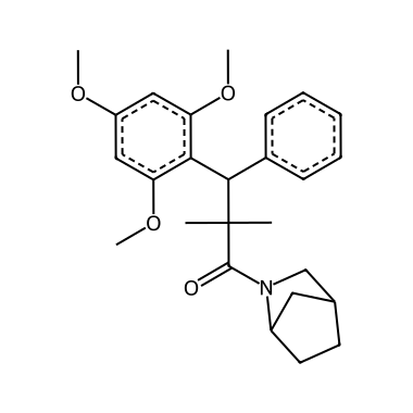 COc1cc(OC)c(C(c2ccccc2)C(C)(C)C(=O)N2CC3CCC2C3)c(OC)c1